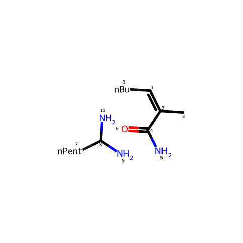 CCCCC=C(C)C(N)=O.CCCCCC(N)N